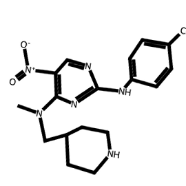 CN(CC1CCNCC1)c1nc(Nc2ccc(Cl)cc2)ncc1[N+](=O)[O-]